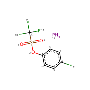 O=S(=O)(Oc1ccc(F)cc1)C(F)(F)F.P